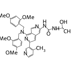 COc1ccc(CN(Cc2ccc(OC)cc2OC)c2nc(-c3cnccc3C)cc3cc(NC(=O)NC[C@H](C)O)ncc23)c(OC)c1